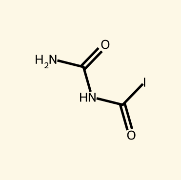 NC(=O)NC(=O)I